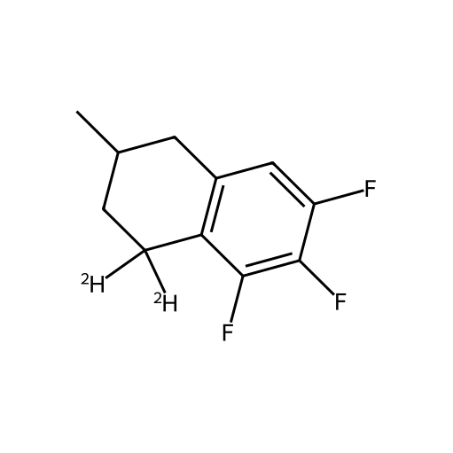 [2H]C1([2H])CC(C)Cc2cc(F)c(F)c(F)c21